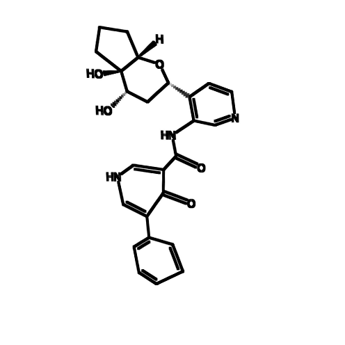 O=C(Nc1cnccc1[C@@H]1C[C@H](O)[C@]2(O)CCC[C@@H]2O1)c1c[nH]cc(-c2ccccc2)c1=O